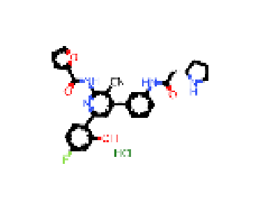 Cl.N#Cc1c(-c2cccc(NC(=O)C[C@@H]3CCCN3)c2)cc(-c2ccc(F)cc2O)nc1NC(=O)c1ccco1